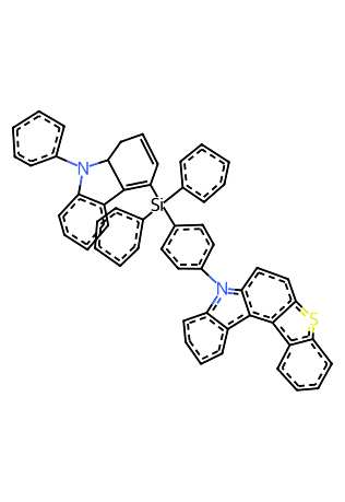 C1=CC([Si](c2ccccc2)(c2ccccc2)c2ccc(-n3c4ccccc4c4c5c(ccc43)sc3ccccc35)cc2)=C2c3ccccc3N(c3ccccc3)C2C1